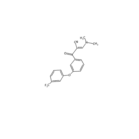 CN(C)C=C(C#N)C(=O)c1cccc(Oc2cccc(C(F)(F)F)c2)c1